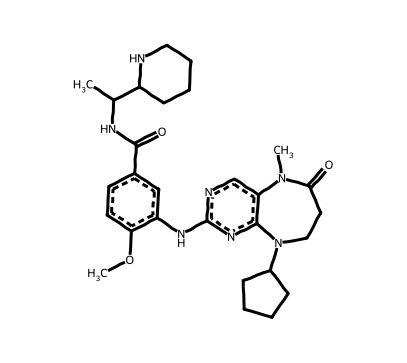 COc1ccc(C(=O)NC(C)C2CCCCN2)cc1Nc1ncc2c(n1)N(C1CCCC1)CCC(=O)N2C